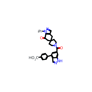 CC(C)n1ncc2c1C(=O)CC1(CCN(C(=O)c3cc(-c4ccc(C(=O)O)cc4)c4cn[nH]c4c3)CC1)C2